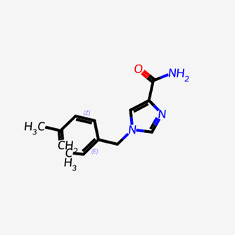 C=C(C)/C=C\C(=C/C)Cn1cnc(C(N)=O)c1